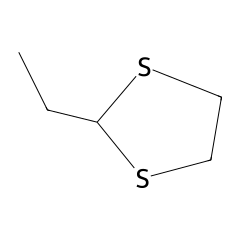 CCC1SCCS1